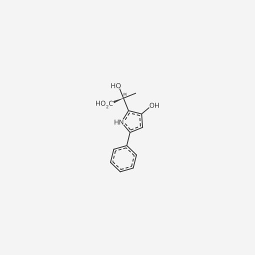 C[C@](O)(C(=O)O)c1[nH]c(-c2ccccc2)cc1O